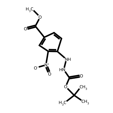 COC(=O)c1ccc(NNC(=O)OC(C)(C)C)c([N+](=O)[O-])c1